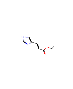 O=C(O)COC(=O)C=Cc1c[nH]cn1